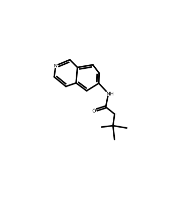 CC(C)(C)[CH]C(=O)Nc1ccc2cnccc2c1